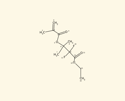 C=C(C)C(=O)OC(C)(C)C(F)(F)C(=O)OCC